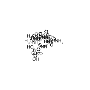 CC(C)[C@H](NC(=O)[C@H](C)N)C(=O)N1CCC[C@H]1C(=O)N[C@H](C(=O)N[C@@H](C)C(=O)N[C@@H](CCCCNC(=O)c1ccc2c(c1)C(=O)OC21c2ccc(O)cc2Oc2cc(O)ccc21)C(=O)NCC(N)=O)C(c1ccccc1)c1ccccc1